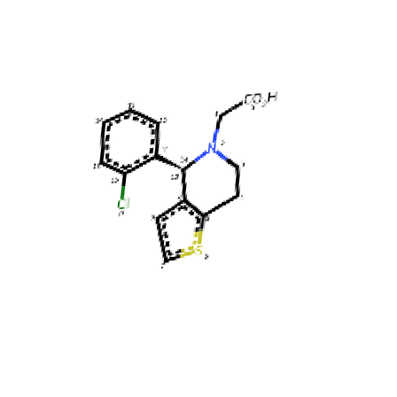 O=C(O)CN1CCc2sccc2[C@H]1c1ccccc1Cl